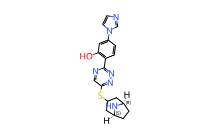 Oc1cc(-n2ccnc2)ccc1-c1ncc(SC2C[C@H]3CC[C@@H](C2)N3)nn1